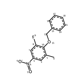 Cc1cc([N+](=O)[O-])cc(F)c1OCc1ccccc1